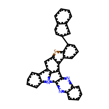 c1ccc2cc(-c3cccc4c3sc3cc5c6ccccc6n6c7nc8ccccc8nc7c(c34)c56)ccc2c1